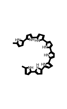 Cc1ccc(-c2ccc(-c3ccc(-c4ccc(-c5ccc(-c6ccc(-c7ccc(-c8ccc(C)[nH]8)[nH]7)[nH]6)[nH]5)[nH]4)[nH]3)[nH]2)[nH]1